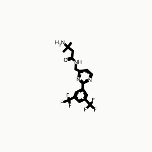 CC(C)(N)CC(=O)NCc1ccnc(-c2cc(C(F)(F)F)cc(C(F)(F)F)c2)n1